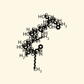 CCCCCCCCCC(=O)NC(Cc1c[nH]c2ccccc12)C(=O)NC(CC(N)=O)C(=O)NC(CC(=O)O)C(=O)NC(C(=O)NCC(=O)NC(CCCN)C(=O)NC(CC(=O)O)C(=O)NC(C)C(=O)NC(CC(=O)O)C(=O)NCC(=O)NC(CO)C(=O)NC(C(=O)NC(CC(=O)c1ccccc1N)C(=O)O)C(C)CC(=O)O)C(C)O